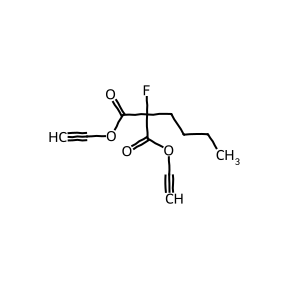 C#COC(=O)C(F)(CCCC)C(=O)OC#C